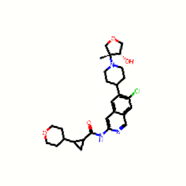 C[C@@]1(N2CCC(c3cc4cc(NC(=O)C5CC5C5CCOCC5)ncc4cc3Cl)CC2)COC[C@@H]1O